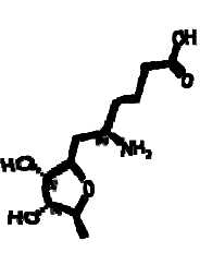 CC1OC(C[C@H](N)CCCC(=O)O)[C@@H](O)[C@H]1O